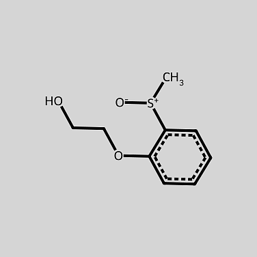 C[S+]([O-])c1ccccc1OCCO